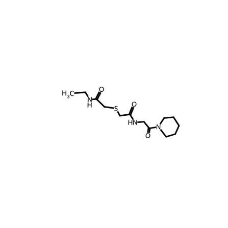 CCNC(=O)CSCC(=O)NCC(=O)N1CCCCC1